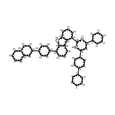 c1ccc(-c2ccc(-c3cc(-c4ccccc4)nc(-c4cccc5oc6c(-c7ccc(-c8ccc9ccccc9c8)cc7)cccc6c45)n3)cc2)cc1